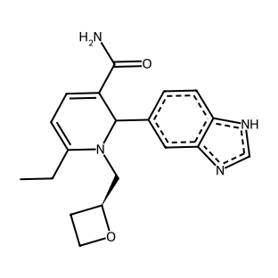 CCC1=CC=C(C(N)=O)C(c2ccc3[nH]cnc3c2)N1C[C@@H]1CCO1